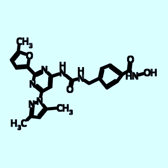 Cc1cc(C)n(-c2cc(NC(=O)NCc3ccc(C(=O)NO)cc3)nc(-c3ccc(C)o3)n2)n1